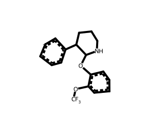 FC(F)(F)Oc1ccccc1OC1NCCCC1c1c[c]ccc1